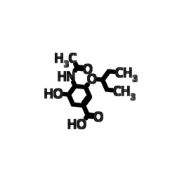 CCC(CC)OC1C=C(C(=O)O)CC(O)C1NC(C)=O